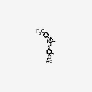 CC(=O)COc1ccc(SCc2nn(-c3ccc(C(F)(F)F)cc3)nc2C)cc1C